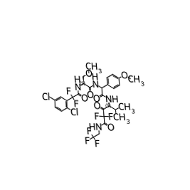 COC[C@H](NC(=O)C(F)(F)c1cc(Cl)ccc1Cl)C(=O)NC(C(=O)N[C@H](C(=O)C(F)(F)C(=O)NCC(F)(F)F)C(C)C)c1ccc(OC)cc1